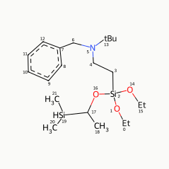 CCO[Si](CCN(Cc1ccccc1)C(C)(C)C)(OCC)OC(C)[SiH](C)C